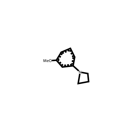 COc1[c]ccc(N2CCC2)c1